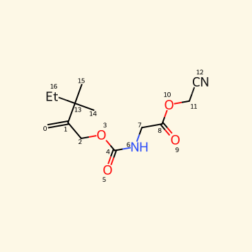 C=C(COC(=O)NCC(=O)OCC#N)C(C)(C)CC